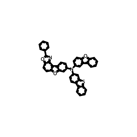 c1ccc(-c2nc3c(ccc4oc5cc(N(c6ccc7c(c6)sc6ccccc67)c6ccc7oc8ccccc8c7c6)ccc5c43)o2)cc1